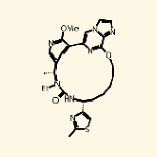 CCN1C(=O)N[C@@H](c2csc(C)n2)CCCCCOc2nc(cn3ccnc23)-c2cc(cnc2OC)[C@H]1C